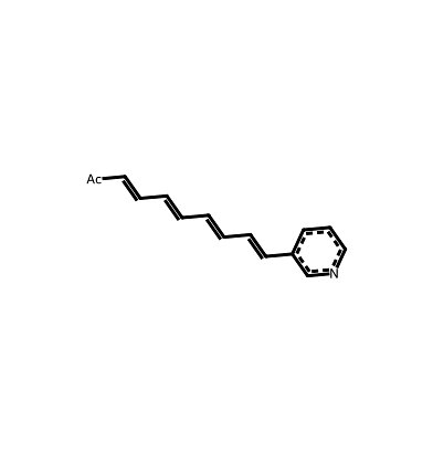 CC(=O)/C=C/C=C/C=C/C=C/c1cccnc1